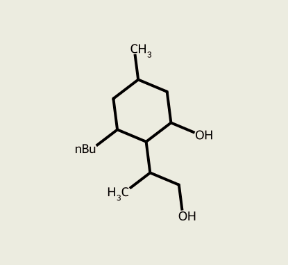 CCCCC1CC(C)CC(O)C1C(C)CO